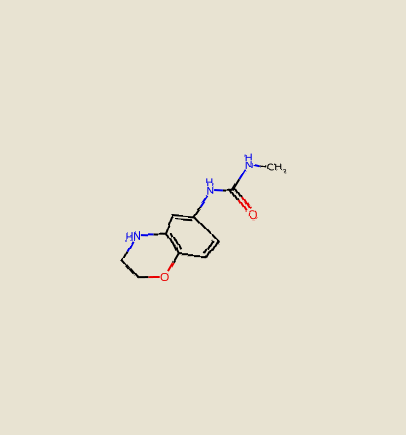 CNC(=O)Nc1ccc2c(c1)NCCO2